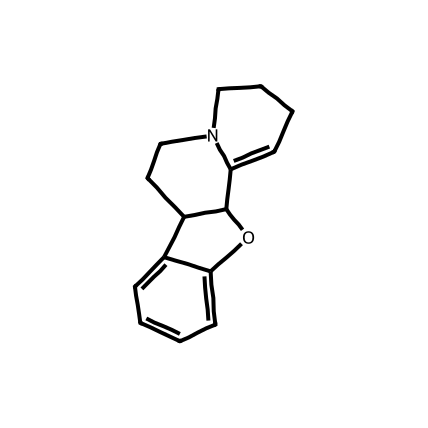 C1=C2C3Oc4ccccc4C3CCN2CCC1